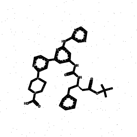 CC(C)(C)OC(=O)C[C@H](Cc1ccccc1)NC(=O)Nc1cc(Nc2cnccn2)nc(-c2ccnc(N3CCN(C(=O)O)CC3)c2)c1